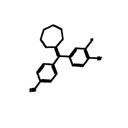 Oc1ccc(C(=C2CCCCCC2)c2ccc(Br)c(F)c2)cc1